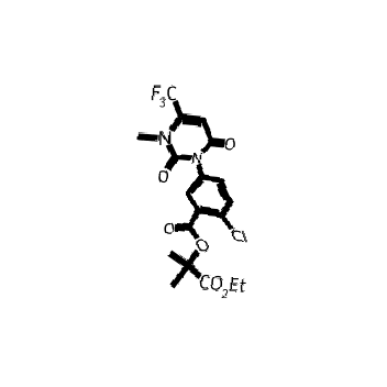 CCOC(=O)C(C)(C)OC(=O)c1cc(-n2c(=O)cc(C(F)(F)F)n(C)c2=O)ccc1Cl